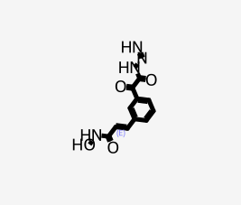 N=NNC(=O)C(=O)c1cccc(/C=C/C(=O)NO)c1